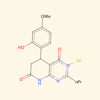 CCCc1nc2c(c(=O)n1S)C(c1ccc(OC)cc1O)CC(=O)N2